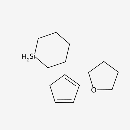 C1=CCC=C1.C1CCOC1.C1CC[SiH2]CC1